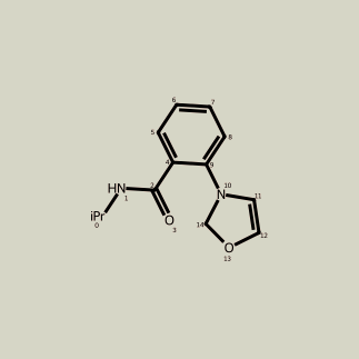 CC(C)NC(=O)c1ccccc1N1C=COC1